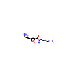 NCC#Cc1coc(C(=O)NCCCCN)c1